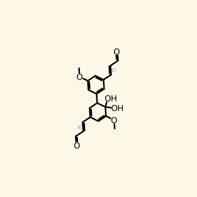 COC1=CC(/C=C/C=O)=CC(c2cc(/C=C/C=O)cc(OC)c2)C1(O)O